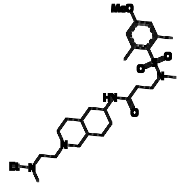 CCN(C)CCN1CCC2CC(NC(=O)CCN(C)S(=O)(=O)c3c(C)cc(OC)cc3C)CCC2C1